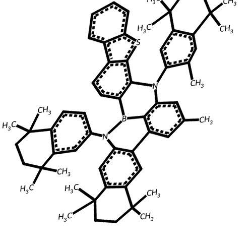 Cc1cc2c3c(c1)N(c1cc4c(cc1C)C(C)(C)CCC4(C)C)c1c(ccc4c1sc1ccccc14)B3N(c1ccc3c(c1)C(C)(C)CCC3(C)C)c1cc3c(cc1-2)C(C)(C)CCC3(C)C